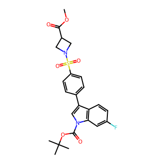 COC(=O)C1CN(S(=O)(=O)c2ccc(-c3cn(C(=O)OC(C)(C)C)c4cc(F)ccc34)cc2)C1